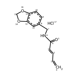 C=CC=CC(=O)NCc1ccc2c(c1)OCO2.Cl